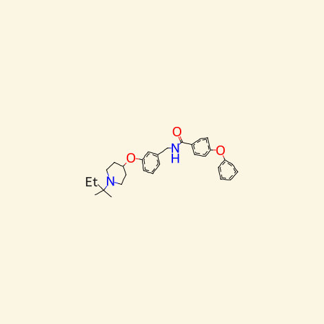 CCC(C)(C)N1CCC(Oc2cccc(CNC(=O)c3ccc(Oc4ccccc4)cc3)c2)CC1